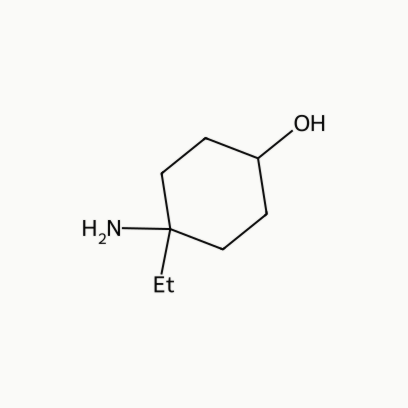 CCC1(N)CCC(O)CC1